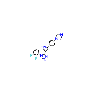 CN1CCN(c2ccc(-c3cc(-c4nncn4-c4cccc(F)c4F)c[nH]3)cc2)CC1